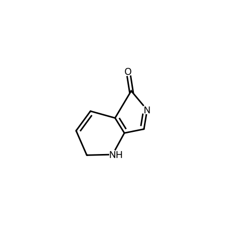 O=C1N=CC2=C1C=CCN2